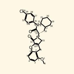 COc1cccc2c1CC1=C(O2)C(=O)N([C@@H](CC2CCCCC2)C(=O)Nc2ccc(Cl)cn2)C1